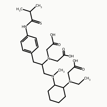 CCN(CC(=O)O)C1CCCCC1N(C)CC(Cc1ccc(NC(=S)C(C)C)cc1)N(CC(=O)O)CC(=O)O